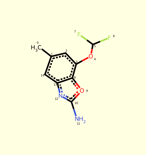 Cc1cc(OC(F)F)c2oc(N)nc2c1